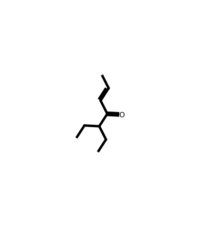 C/C=C/C(=O)C(CC)CC